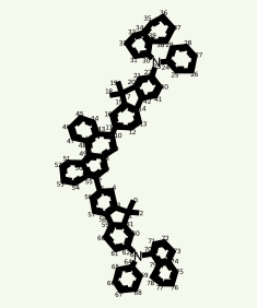 CC1(C)c2cc(-c3cc4cc(-c5ccc6c(c5)C(C)(C)c5cc(N(c7ccccc7)c7cccc8ccccc78)ccc5-6)c5ccccc5c4c4ccccc34)ccc2-c2ccc(N(c3ccccc3)c3cccc4ccccc34)cc21